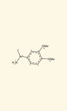 COc1ccc(N(C)N)cc1OC